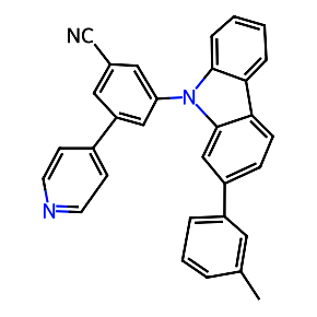 Cc1cccc(-c2ccc3c4ccccc4n(-c4cc(C#N)cc(-c5ccncc5)c4)c3c2)c1